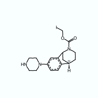 O=C(OCI)N1CC[C@H]2CC1c1cc(N3CCNCC3)ccc12